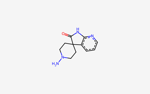 NN1CCC2(CC1)C(=O)Nc1ncccc12